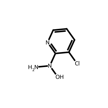 NN(O)c1ncccc1Cl